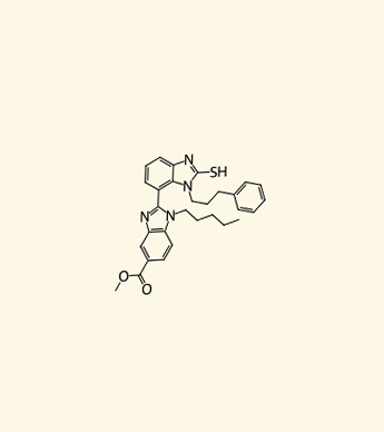 CCCCCn1c(-c2cccc3nc(S)n(CCCc4ccccc4)c23)nc2cc(C(=O)OC)ccc21